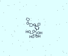 OC[C@H]1O[C@@H](c2ccc(Cl)c(OC3CCC(OC4CCCC4)C3)c2)[C@H](O)[C@@H](O)[C@@H]1O